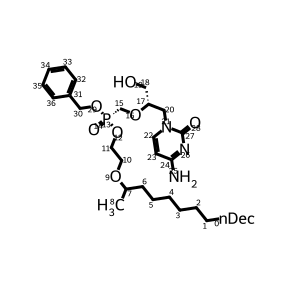 CCCCCCCCCCCCCCCCC(C)OCCO[P@](=O)(CO[C@H](CO)Cn1ccc(N)nc1=O)OCc1ccccc1